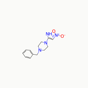 NC(=C[N+](=O)[O-])N1CCN(Cc2ccccc2)CC1